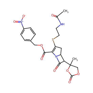 CC(=O)NCCSC1=C(C(=O)OCc2ccc([N+](=O)[O-])cc2)N2C(=O)C(C3(C)COC(=O)O3)C2C1